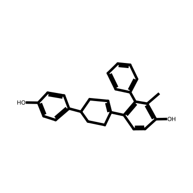 Cc1c(O)ccc(C2=CCC(c3ccc(O)cc3)CC2)c1-c1ccccc1